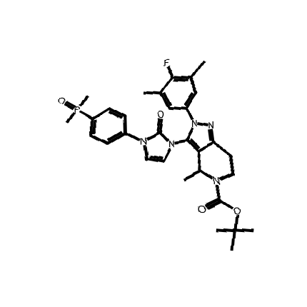 Cc1cc(-n2nc3c(c2-n2ccn(-c4ccc(P(C)(C)=O)cc4)c2=O)C(C)N(C(=O)OC(C)(C)C)CC3)cc(C)c1F